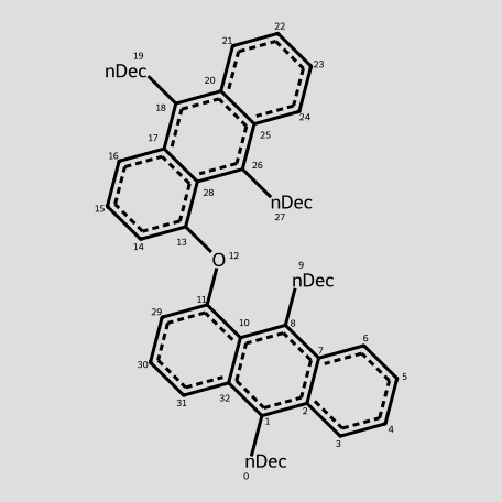 CCCCCCCCCCc1c2ccccc2c(CCCCCCCCCC)c2c(Oc3cccc4c(CCCCCCCCCC)c5ccccc5c(CCCCCCCCCC)c34)cccc12